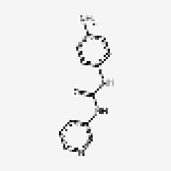 Nc1ccc(NC(=O)Nc2cccnc2)cc1